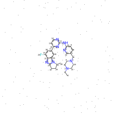 CCN1CCN(Cc2ccc(Nc3nccc(-c4cc(F)c5nc6n(c5c4)C(C)CC6)n3)nc2)CC1